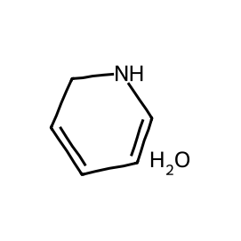 C1=CCNC=C1.O